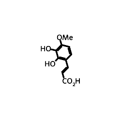 COc1ccc(/C=C/C(=O)O)c(O)c1O